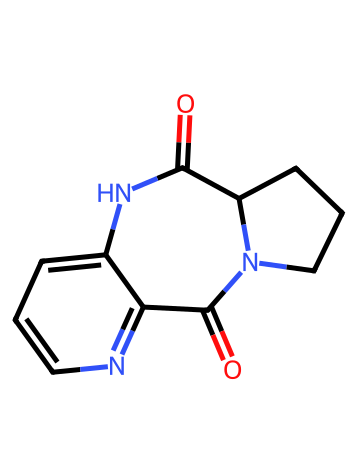 O=C1Nc2cccnc2C(=O)N2CCCC12